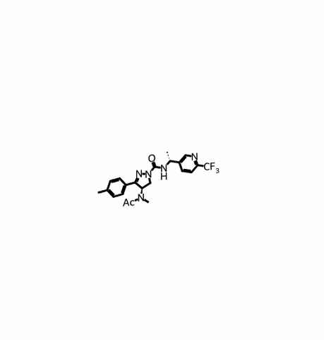 CC(=O)N(C)[C@@H]1CN(C(=O)N[C@H](C)c2ccc(C(F)(F)F)nc2)N=C1c1ccc(C)cc1